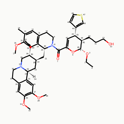 CCO[C@@H]1OC(C(=O)N2CCc3cc(C)c(OC)cc3[C@H]2C[C@H]2C[C@H]3c4cc(OC)c(OC)cc4CCN3C[C@@H]2CC)=C[C@H](c2ccsc2)[C@H]1CCCO